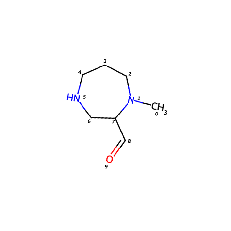 CN1CCCNCC1C=O